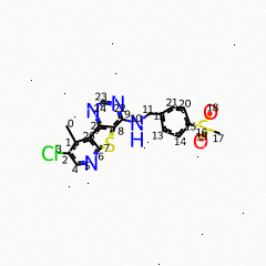 Cc1c(Cl)cnc2sc3c(NCc4ccc(S(C)(=O)=O)cc4)ncnc3c12